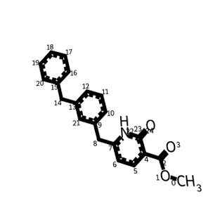 COC(=O)c1ccc(Cc2cccc(Cc3ccccc3)c2)[nH]c1=O